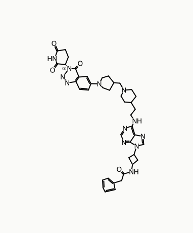 O=C1CC[C@H](n2nnc3ccc(N4CCC(CN5CCC(CCNc6ncnc7c6ncn7C6CC(NC(=O)Cc7ccccc7)C6)CC5)CC4)cc3c2=O)C(=O)N1